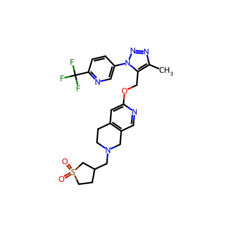 Cc1nnn(-c2ccc(C(F)(F)F)nc2)c1COc1cc2c(cn1)CN(CC1CCS(=O)(=O)C1)CC2